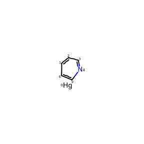 [Hg].c1ccncc1